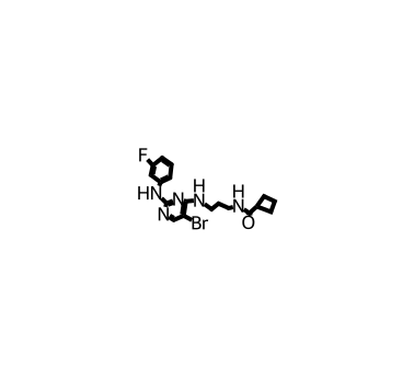 O=C(NCCCNc1nc(Nc2cccc(F)c2)ncc1Br)C1CCC1